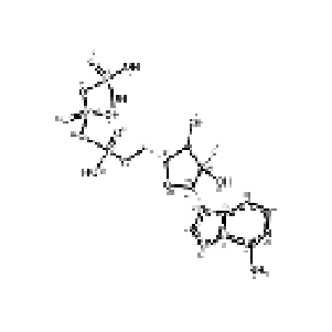 C[C@@]1(O)C(O)[C@@H](COP(=O)(O)OP(=O)(O)OP(=O)(O)O)O[C@H]1n1cnc2c(N)ncnc21